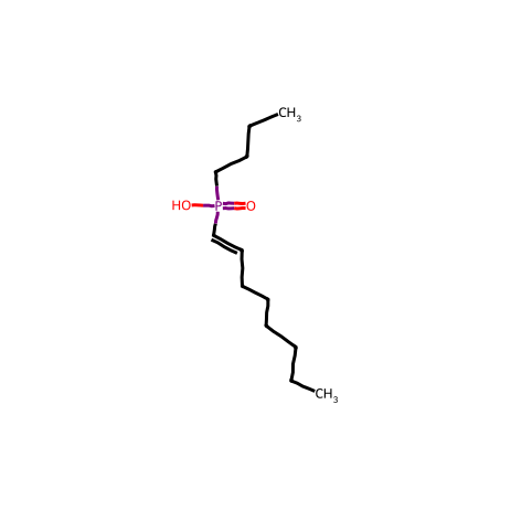 CCCCCCC=CP(=O)(O)CCCC